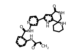 C=CC(=O)Nc1ccccc1C(=O)Nc1cc(-c2cc3c([nH]2)C2(CCCCN2)CNC3=O)ccn1